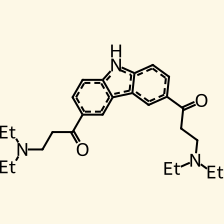 CCN(CC)CCC(=O)c1ccc2[nH]c3ccc(C(=O)CCN(CC)CC)cc3c2c1